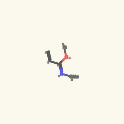 C=CC(=NOC)OCC